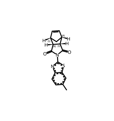 Cc1ccc2nc(N3C(=O)[C@@H]4[C@H](C3=O)[C@@H]3C=C[C@H]4C3)sc2c1